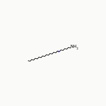 CCCCCCCCCCCCCCCC/C=C/CCCCCCN